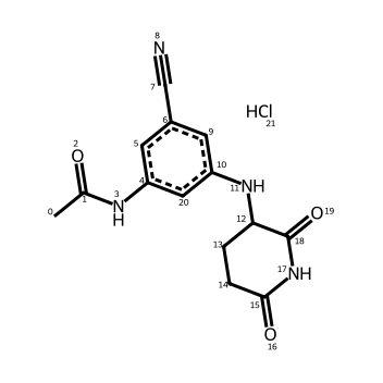 CC(=O)Nc1cc(C#N)cc(NC2CCC(=O)NC2=O)c1.Cl